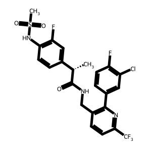 C[C@H](C(=O)NCc1ccc(C(F)(F)F)nc1-c1ccc(F)c(Cl)c1)c1ccc(NS(C)(=O)=O)c(F)c1